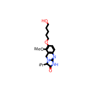 COc1c(OCCCCCO)ccc2c1CN1C(=N2)NC(=O)C1C(C)C